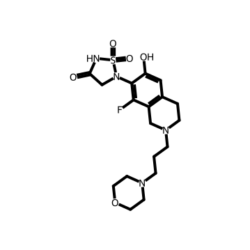 O=C1CN(c2c(O)cc3c(c2F)CN(CCCN2CCOCC2)CC3)S(=O)(=O)N1